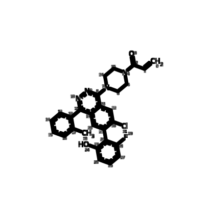 C=CC(=O)N1CCN(c2nnc(-c3ccccc3C)c3cc(-c4c(O)cccc4F)c(Cl)cc23)CC1